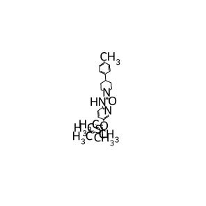 Cc1ccc(C2CCN(C(=O)Nc3ccc(O[Si](C)(C)C(C)(C)C)cn3)CC2)cc1